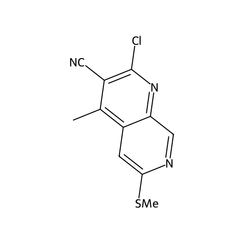 CSc1cc2c(C)c(C#N)c(Cl)nc2cn1